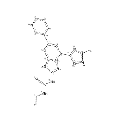 CCNC(=O)Nc1cn2c(-c3nc(C)no3)cc(-c3cccnc3)cc2n1